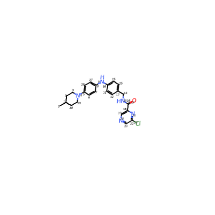 CC1CCN(c2ccc(Nc3ccc(CNC(=O)c4cncc(Cl)n4)cc3)cc2)CC1